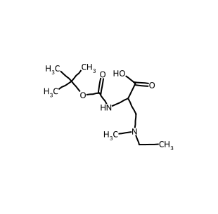 CCN(C)CC(NC(=O)OC(C)(C)C)C(=O)O